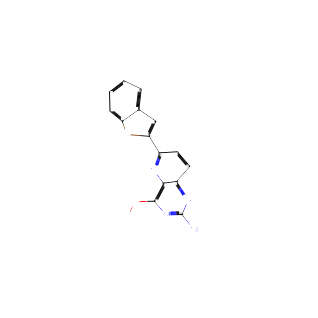 CCOc1nc(N)nc2ccc(-c3cc4ccccc4s3)nc12